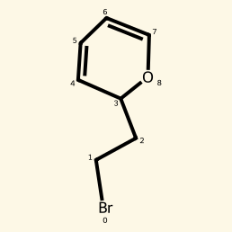 BrCCC1C=CC=CO1